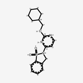 O=S1(=O)c2ccccc2CN1c1ccnc(OCC2CCCCC2)n1